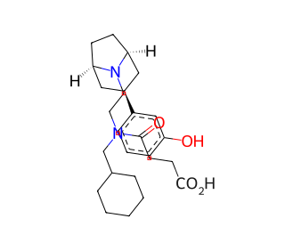 O=C(O)CCC(=O)N(CCN1[C@@H]2CC[C@H]1C[C@@H](c1cccc(O)c1)C2)CC1CCCCC1